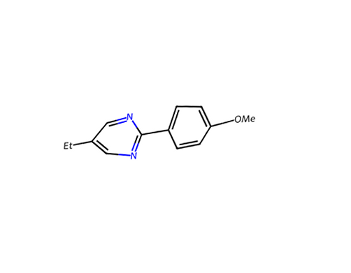 CCc1cnc(-c2ccc(OC)cc2)nc1